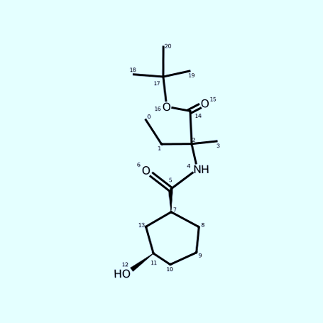 CCC(C)(NC(=O)[C@H]1CCC[C@@H](O)C1)C(=O)OC(C)(C)C